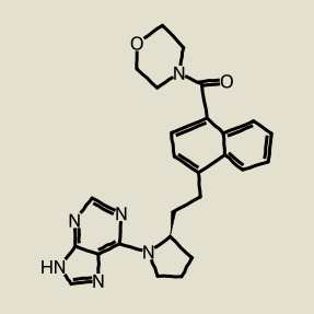 O=C(c1ccc(CC[C@H]2CCCN2c2ncnc3[nH]cnc23)c2ccccc12)N1CCOCC1